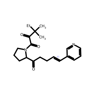 CCC(C)(C)C(=O)C(=O)N1CCCC1C(=O)CC/C=C/c1cccnc1